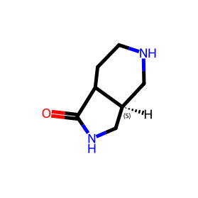 O=C1NC[C@@H]2CNCCC12